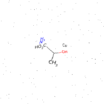 CC(O)C(=O)O.N.[Ca]